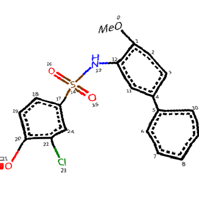 COc1ccc(-c2ccccc2)cc1NS(=O)(=O)c1ccc(O)c(Cl)c1